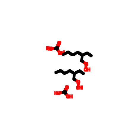 CCCCC(CC)COO.CCCCC(CC)COO.O=C(O)O.O=C(O)O